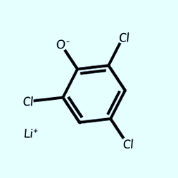 [Li+].[O-]c1c(Cl)cc(Cl)cc1Cl